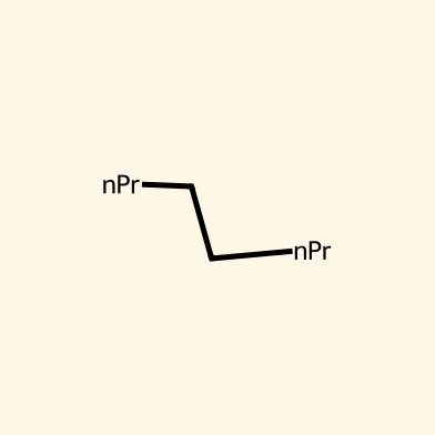 [CH2]CCCCCCC